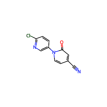 N#Cc1ccn(-c2ccc(Cl)nc2)c(=O)c1